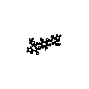 CC(C)(C)OC(=O)[C@H]1CCCN1C(=O)COc1c(F)c(F)c(OCC(=O)N2CCC[C@@H]2C(=O)O)c(F)c1F